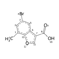 Cc1cc(Br)cc2c(C(=O)O)coc12